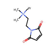 CC(C)[N+](C)(C)CCN1C(=O)C=CC1=O